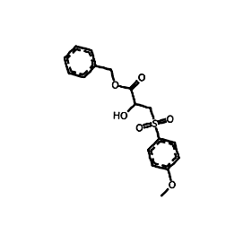 COc1ccc(S(=O)(=O)CC(O)C(=O)OCc2ccccc2)cc1